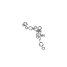 O=C(C=Cc1ccc(Cl)cc1)N[C@@H](Cc1ccccn1)C(=O)NCC(=O)N1CCC(Oc2nccs2)CC1